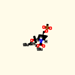 CC(C)(C)OC(=O)N1[C@H](C(C)(C)O[SiH2]C(C)(C)C)C[C@@]2(COS(C)(=O)=O)C[C@@H]12